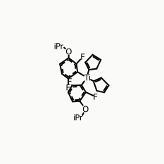 CC(C)Oc1ccc(F)[c]([Ti]([C]2=CC=CC2)([C]2=CC=CC2)[c]2c(F)ccc(OC(C)C)c2F)c1F